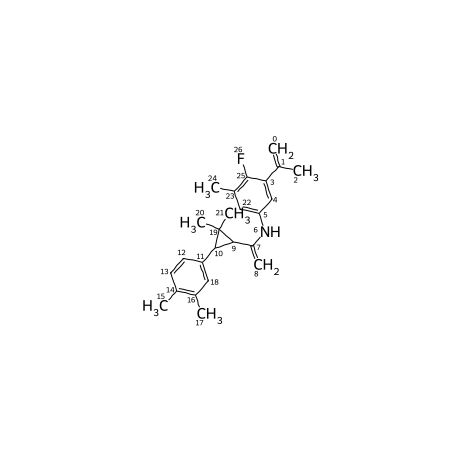 C=C(C)c1cc(NC(=C)C2C(c3ccc(C)c(C)c3)C2(C)C)cc(C)c1F